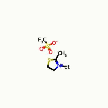 CC[N+]1=C(C)SCC1.O=S(=O)([O-])C(F)(F)F